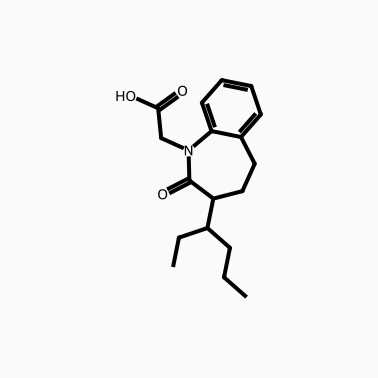 CCCC(CC)C1CCc2ccccc2N(CC(=O)O)C1=O